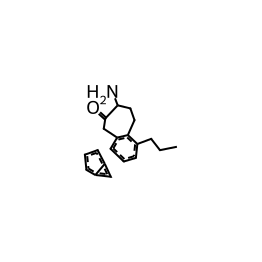 CCCc1cccc2c1CCC(N)C(=O)C2.c1cc2cc-2c1